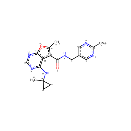 COc1ncc(CNC(=O)c2c(C)oc3ncnc(NC4(C)CC4)c23)cn1